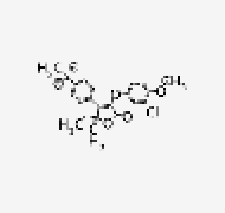 CC[C@@]1(C)OC(=O)C(Oc2ccc(OC)c(Cl)c2)=C1c1ccc(S(C)(=O)=O)cc1